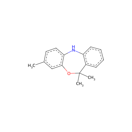 Cc1ccc2c(c1)OC(C)(C)c1ccccc1N2